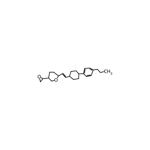 CCCc1ccc(C2CCC(/C=C/C3CCC(C4CO4)CO3)CC2)cc1